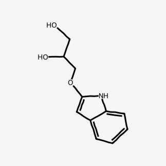 OCC(O)COc1cc2ccccc2[nH]1